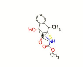 COC(=O)N[C@H]1C(=O)C[C@]2(O)C3=CCS[C@@]31C(C)c1ccccc12